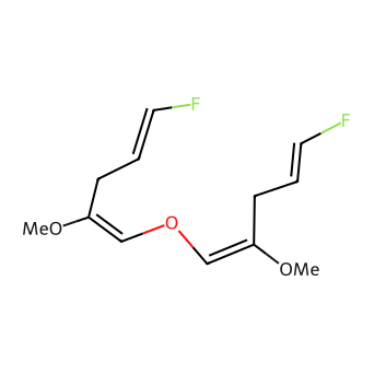 COC(=COC=C(CC=CF)OC)CC=CF